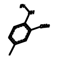 COc1cc(C)ccc1NC(C)C